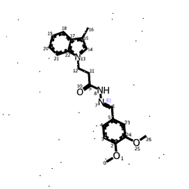 COc1ccc(/C=N/NC(=O)CCn2cc(C)c3ccccc32)cc1OC